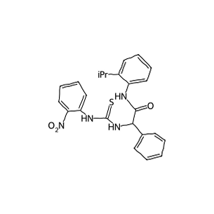 CC(C)c1ccccc1NC(=O)C(NC(=S)Nc1ccccc1[N+](=O)[O-])c1ccccc1